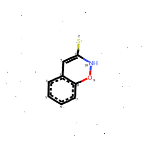 [S]C1=Cc2ccccc2ON1